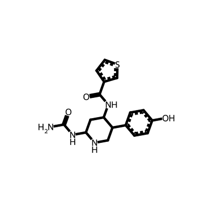 NC(=O)NC1CC(NC(=O)c2ccsc2)C(c2ccc(O)cc2)CN1